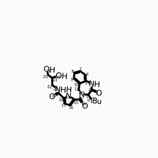 CCC(C)C1C(=O)Nc2ccccc2CN1C(=O)c1ccc(C(=O)NCC(O)CO)[nH]1